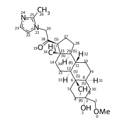 COC[C@@]1(O)CC[C@@]2(C)[C@@H](CC[C@@H]3[C@@H]2CC[C@]2(C)[C@@H](C(=O)Cn4ccnc4C)CC[C@@H]32)C1